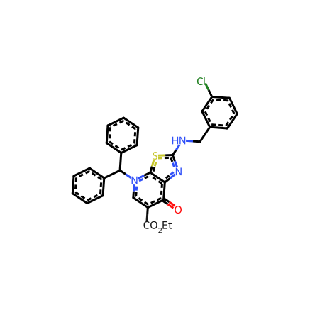 CCOC(=O)c1cn(C(c2ccccc2)c2ccccc2)c2sc(NCc3cccc(Cl)c3)nc2c1=O